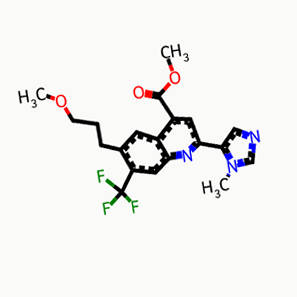 COCCCc1cc2c(C(=O)OC)cc(-c3cncn3C)nc2cc1C(F)(F)F